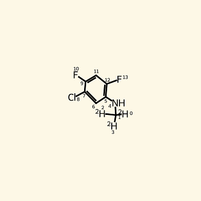 [2H]C([2H])([2H])Nc1cc(Cl)c(F)cc1F